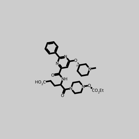 CCOC(=O)ON1CCN(C(=O)C(CCC(=O)O)NC(=O)c2cc(O[C@H]3CCCN(C)C3)nc(-c3ccccc3)n2)CC1